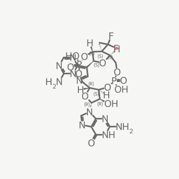 Nc1nc2c(ncn2[C@@H]2O[C@@H]3COP(=O)(O)O[C@H]4[C@H](c5cnn6c(N)ncnc56)O[C@H](COP(=O)(O)O[C@H]3[C@H]2O)[C@@]42CC2(F)F)c(=O)[nH]1